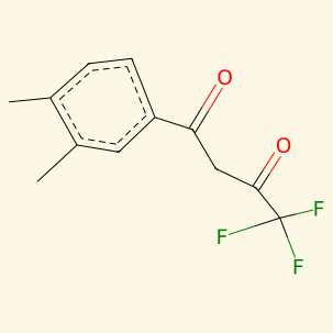 Cc1ccc(C(=O)CC(=O)C(F)(F)F)cc1C